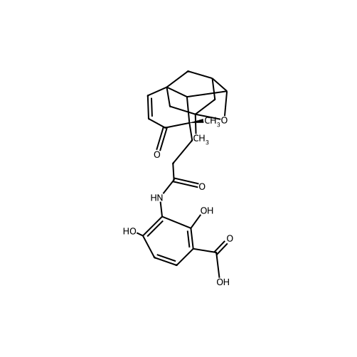 CC12CC3CC4(C=CC(=O)[C@@](C)(CCC(=O)Nc5c(O)ccc(C(=O)O)c5O)C4C3O1)C2